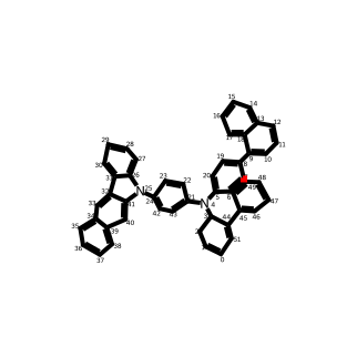 C1=CCC(N(c2ccc(-c3cccc4ccccc34)cc2)c2ccc(-n3c4ccccc4c4cc5ccccc5cc43)cc2)C(c2ccccc2)=C1